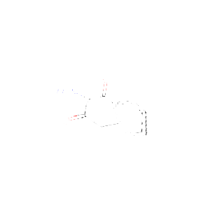 NC1C(=O)Cc2ccccc2C1=O